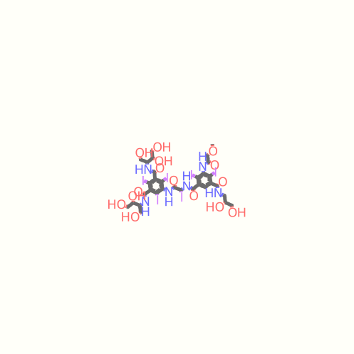 COCC(=O)Nc1c(I)c(C(=O)NCC(O)CO)cc(C(=O)NC(I)C(=O)Nc2c(I)c(C(=O)NC(CO)C(O)CO)c(I)c(C(=O)NC(CO)C(O)CO)c2I)c1I